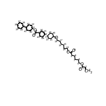 C=CC(=O)OCCCCCC(=O)OCCCCCCO[C@H]1CC[C@H](c2ccc(C(=O)Oc3ccc(-c4ccccc4)cc3)cc2)CC1